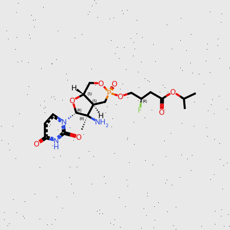 CC(C)OC(=O)C[C@@H](F)COP1(=O)C[C@@H]2[C@@H](CO1)O[C@@H](n1ccc(=O)[nH]c1=O)[C@]2(C)N